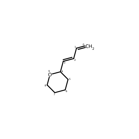 C=CC=CC1CCCCO1